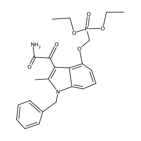 CCOP(=O)(COc1cccc2c1c(C(=O)C(N)=O)c(C)n2Cc1ccccc1)OCC